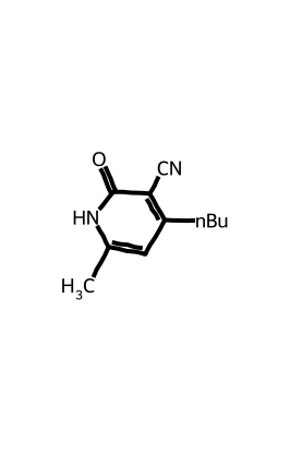 CCCCc1cc(C)[nH]c(=O)c1C#N